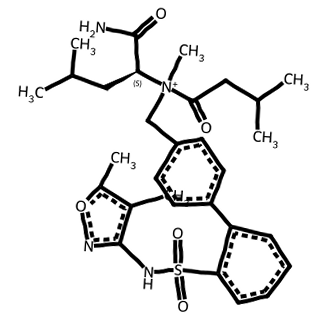 Cc1onc(NS(=O)(=O)c2ccccc2-c2ccc(C[N+](C)(C(=O)CC(C)C)[C@@H](CC(C)C)C(N)=O)cc2)c1C